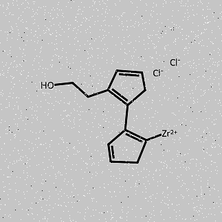 OCCC1=C(C2=[C]([Zr+2])CC=C2)CC=C1.[Cl-].[Cl-]